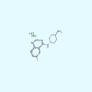 Cc1ccc2ncnc(N[C@H]3CC[C@H](N)CC3)c2c1.Cl.Cl